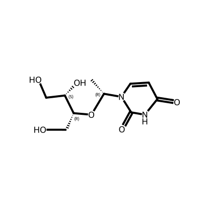 C[C@@H](O[C@H](CO)[C@@H](O)CO)n1ccc(=O)[nH]c1=O